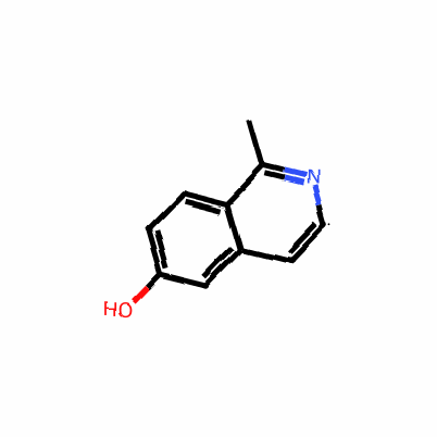 Cc1n[c]cc2cc(O)ccc12